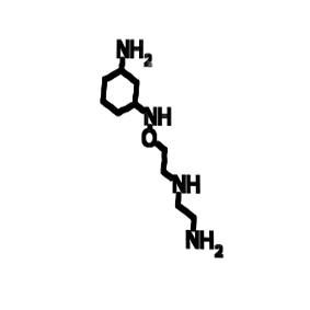 NCCNCCONC1CCCC(N)C1